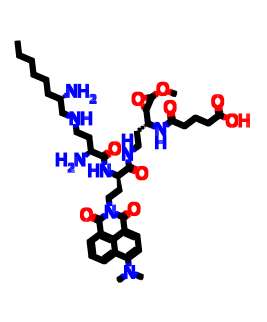 CCCCCC[C@H](N)CNCC[C@H](N)C(=O)N[C@H](CCN1C(=O)c2cccc3c(N(C)C)ccc(c23)C1=O)C(=O)NCC[C@@H](NC(=O)CCCC(=O)O)C1OC1OC